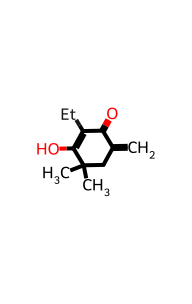 C=C1CC(C)(C)C(O)=C(CC)C1=O